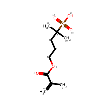 C=C(C)C(=O)OCC[CH]C(C)(C)S(=O)(=O)O